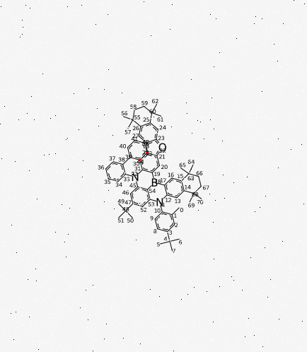 Cc1cc(C(C)(C)C)ccc1N1c2cc3c(cc2B2c4cc5oc6cc7c(cc6c5cc4N(c4ccccc4-c4ccccc4)c4cc(C(C)(C)C)cc1c42)C(C)(C)CCC7(C)C)C(C)(C)CCC3(C)C